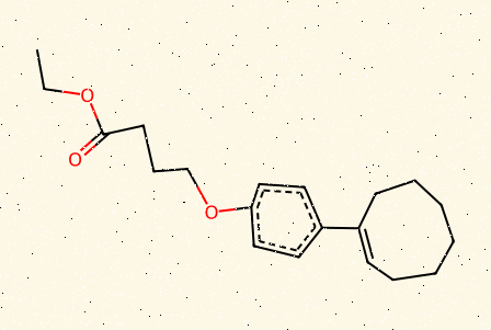 CCOC(=O)CCCOc1ccc(/C2=C/CCCCCC2)cc1